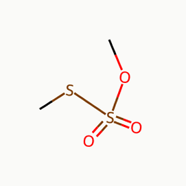 COS(=O)(=O)SC